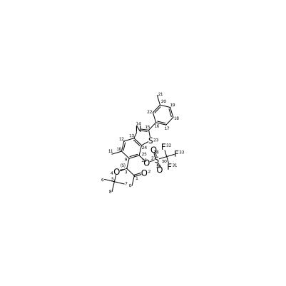 CC(=O)[C@@H](OC(C)(C)C)c1c(C)cc2nc(-c3cccc(C)c3)sc2c1OS(=O)(=O)C(F)(F)F